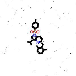 Cc1ccc(S(=O)(=O)n2cc(C(C)C)c3nc(Cc4c(C)c[c]cc4C)ccc32)cc1